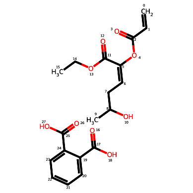 C=CC(=O)OC(=CCC(C)O)C(=O)OCC.O=C(O)c1ccccc1C(=O)O